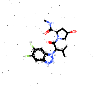 CNC(=O)[C@H]1CC(O)CN1C(=O)C(C(C)C)n1nnc2cc(F)c(F)cc21